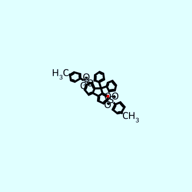 Cc1ccc(S(=O)(=O)Oc2ccccc2C2(c3ccccc3OS(=O)(=O)c3ccc(C)cc3)c3ccccc3-c3ccccc32)cc1